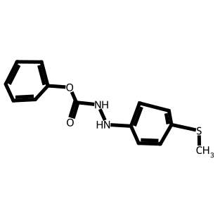 CSc1ccc(NNC(=O)Oc2ccccc2)cc1